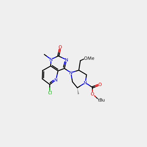 COCC1CN(C(=O)OC(C)(C)C)[C@H](C)CN1c1nc(=O)n(C)c2ccc(Cl)nc12